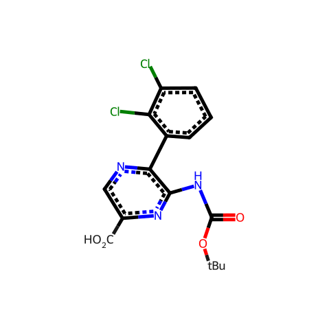 CC(C)(C)OC(=O)Nc1nc(C(=O)O)cnc1-c1cccc(Cl)c1Cl